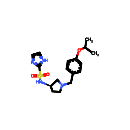 CC(C)Oc1ccc(CN2CC[C@@H](NS(=O)(=O)c3ncc[nH]3)C2)cc1